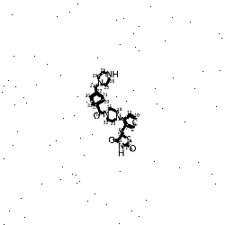 O=C1NC(=O)/C(=C/c2ccccc2N2CCN(C(=O)c3ccc(CN4CCNCC4)cc3)CC2)S1